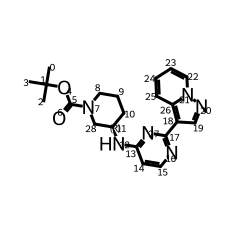 CC(C)(C)OC(=O)N1CCC[C@@H](Nc2ccnc(-c3cnn4ccccc34)n2)C1